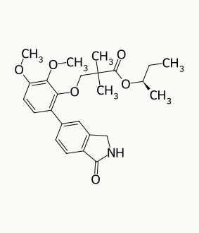 CC[C@@H](C)OC(=O)C(C)(C)COc1c(-c2ccc3c(c2)CNC3=O)ccc(OC)c1OC